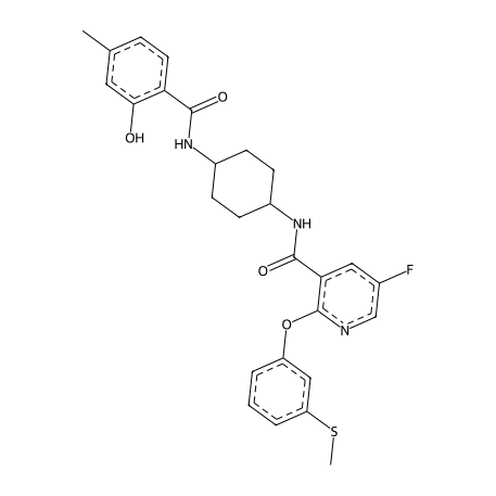 CSc1cccc(Oc2ncc(F)cc2C(=O)NC2CCC(NC(=O)c3ccc(C)cc3O)CC2)c1